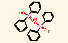 O=P(O)(c1ccccc1)c1ccccc1.O=P(O)(c1ccccc1)c1ccccc1.[Ti]